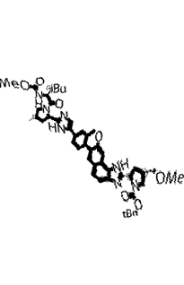 CC[C@H](C)C(NC(=O)OC)C(=O)N1C[C@@H](C)CC1c1ncc(-c2ccc3c(c2)COc2cc4c(ccc5nc([C@@H]6C[C@H](COC)CN6C(=O)OC(C)(C)C)[nH]c54)cc2-3)[nH]1